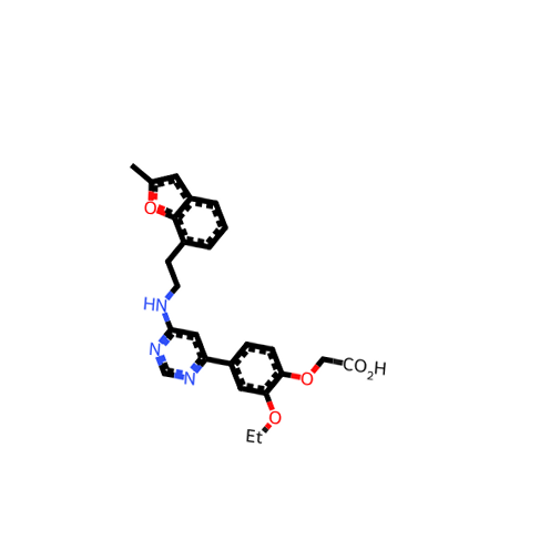 CCOc1cc(-c2cc(NCCc3cccc4cc(C)oc34)ncn2)ccc1OCC(=O)O